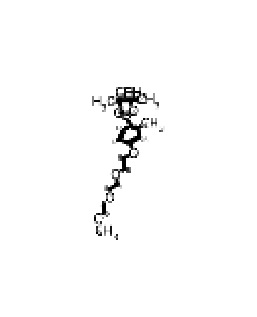 COCCOCCOCCOc1ccc(B2OC(C)(C)C(C)(C)O2)c(C)c1